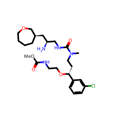 COC(=O)NCCO[C@H](CCN(C)C(=O)NC[C@@H](N)C[C@H]1CCCCOC1)c1cccc(Cl)c1